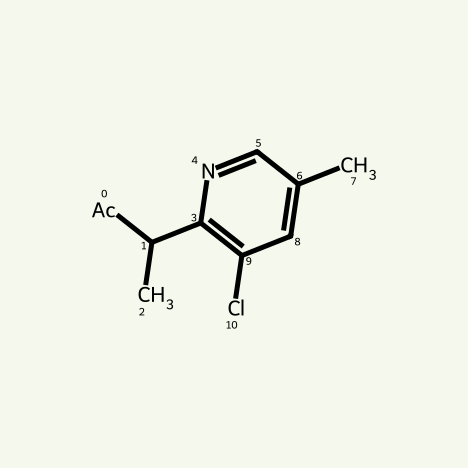 CC(=O)C(C)c1ncc(C)cc1Cl